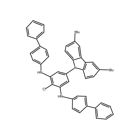 CC(C)(C)c1ccc2c(c1)c1cc(C(C)(C)C)ccc1n2-c1cc(Nc2ccc(-c3ccccc3)cc2)c(Cl)c(Nc2ccc(-c3ccccc3)cc2)c1